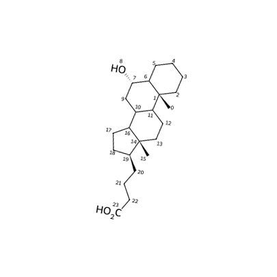 C[C@]12CCCCC1[C@@H](O)CC1C2CC[C@@]2(C)C1CC[C@@H]2CCCC(=O)O